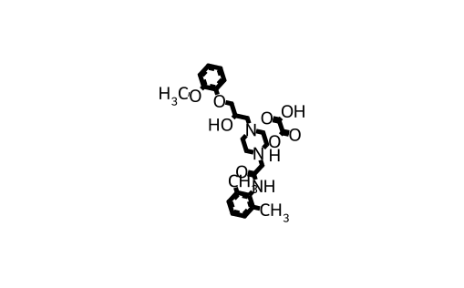 COc1ccccc1OCC(O)CN1CCN(CC(=O)Nc2c(C)cccc2C)CC1.O=C(O)C(=O)O